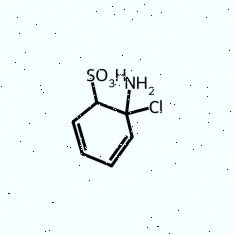 NC1(Cl)C=CC=CC1S(=O)(=O)O